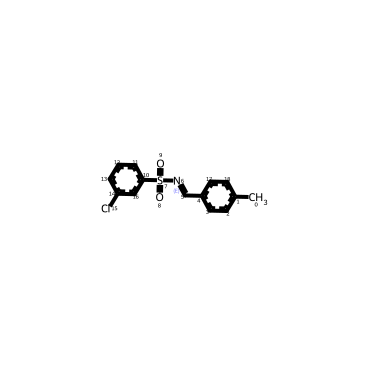 Cc1ccc(/C=N/S(=O)(=O)c2cccc(Cl)c2)cc1